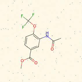 COC(=O)c1ccc(OC(F)(F)F)c(NC(C)=O)c1